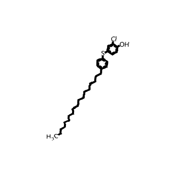 CCCCCCCCCCCCCCCCCCc1ccc(Sc2ccc(O)c(Cl)c2)cc1